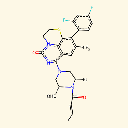 C/C=C/C(=O)N1C(C=O)CN(c2nc(=O)n3c4c(c(-c5ccc(F)cc5F)c(C(F)(F)F)cc24)SCC3)CC1CC